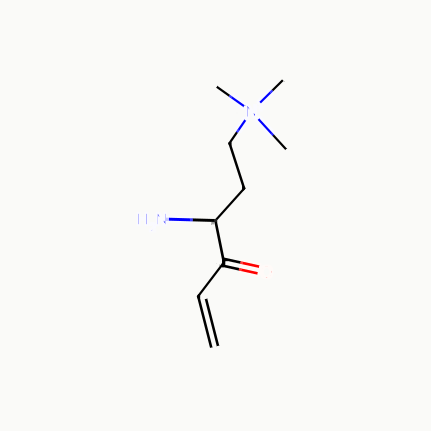 C=CC(=O)C(N)CC[N+](C)(C)C